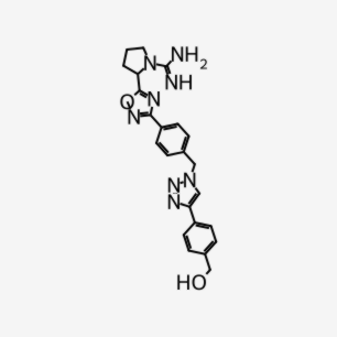 N=C(N)N1CCCC1c1nc(-c2ccc(Cn3cc(-c4ccc(CO)cc4)nn3)cc2)no1